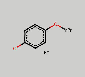 CCCOc1ccc([O-])cc1.[K+]